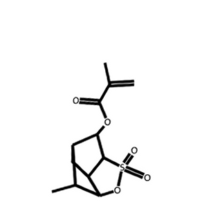 C=C(C)C(=O)OC1C2CC3C(OS(=O)(=O)C31)C2C